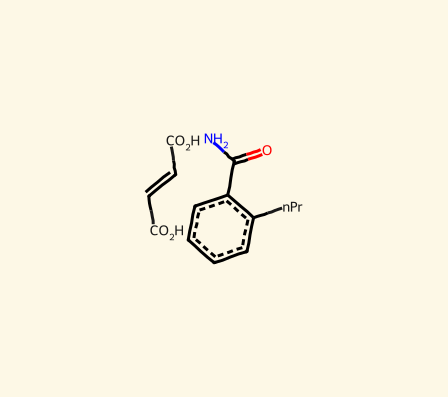 CCCc1ccccc1C(N)=O.O=C(O)C=CC(=O)O